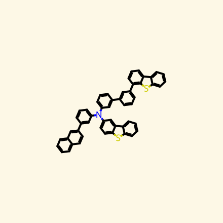 c1cc(-c2cccc(N(c3cccc(-c4ccc5ccccc5c4)c3)c3ccc4sc5ccccc5c4c3)c2)cc(-c2cccc3c2sc2ccccc23)c1